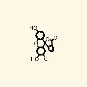 O=C1OC2(c3ccc(O)cc3Oc3cc(O)c(Cl)cc32)c2ccccc21